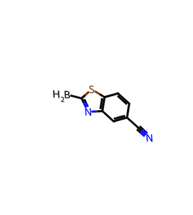 Bc1nc2cc(C#N)ccc2s1